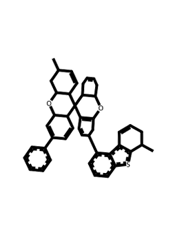 CC1C=CC2C(C1)OC1C=C(c3ccccc3)C=CC1C21C2=C(CC(c3cccc4sc5c(c34)C=CCC5C)C=C2)OC2CC=CCC21